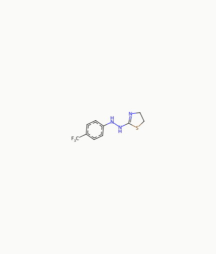 FC(F)(F)c1ccc(NNC2=NCCS2)cc1